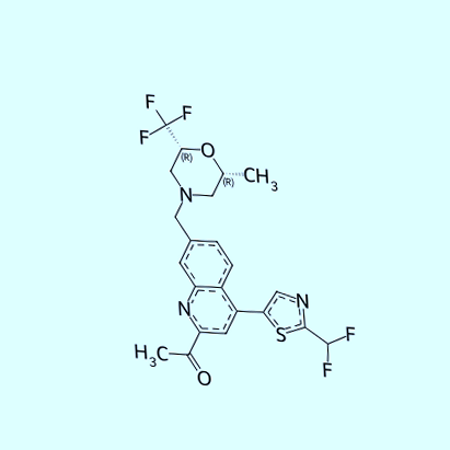 CC(=O)c1cc(-c2cnc(C(F)F)s2)c2ccc(CN3C[C@@H](C)O[C@@H](C(F)(F)F)C3)cc2n1